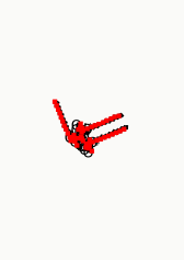 CCCCCCCCCCCCCCCCCCOC(CC)C(C(COP(=O)(OCC(OC(=O)CC(C)=O)C(C(CC)OCCCCCCCCCCCCCCCCCC)[N+](C)(C)C)OCC(OC(=O)CC(C)=O)C(C(CC)OCCCCCCCCCCCCCCCCCC)[N+](C)(C)C)OC(=O)CC(C)=O)[N+](C)(C)C